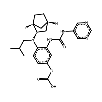 CC(C)CN(c1ccc(OC(=O)O)cc1NC(=O)Nc1cncnc1)[C@@H]1C[C@H]2CC[C@@H]1C2